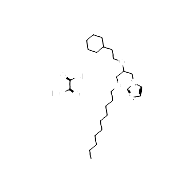 CCCCCCCCCCOCC(Cn1ccnc1)OCCC1CCCCC1.O=C(O)C(=O)O